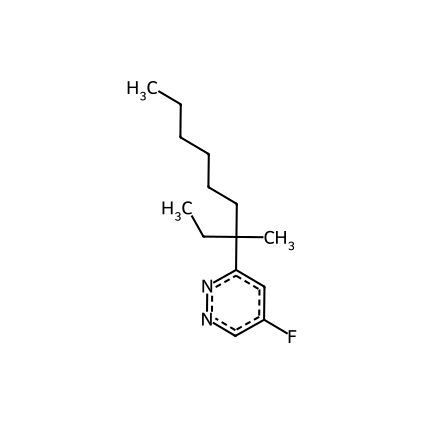 CCCCCCC(C)(CC)c1cc(F)cnn1